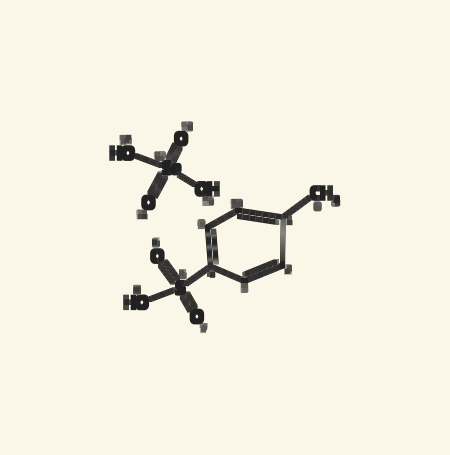 Cc1ccc(S(=O)(=O)O)cc1.O=[Se](=O)(O)O